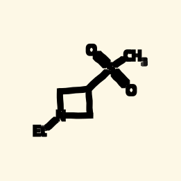 CCN1CC(S(C)(=O)=O)C1